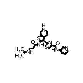 CC(C)NCCC(=O)Nc1sc2c(c1-c1nc(C(=O)Nc3cccnc3)cs1)CCNC2